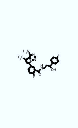 Nc1ncnn2c(-c3ccc(F)c(C(=O)NCCC(O)c4ccc(F)cc4)c3)cc(C(F)(F)F)c12